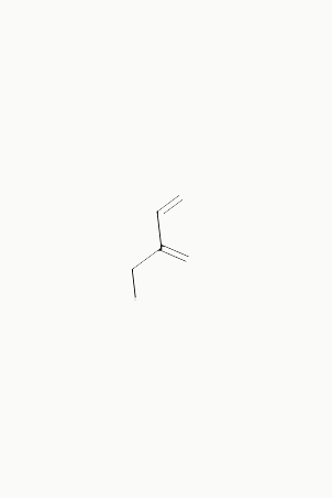 O=CC(=O)CO